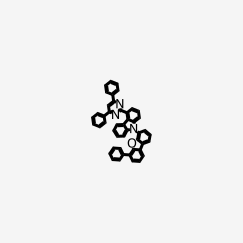 c1ccc(-c2cc(-c3ccccc3)nc(-c3cccc4c3c3ccccc3n4-c3cccc4c3oc3c(-c5ccccc5)cccc34)n2)cc1